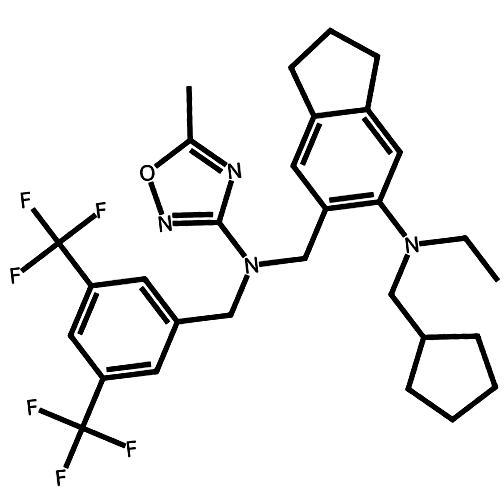 CCN(CC1CCCC1)c1cc2c(cc1CN(Cc1cc(C(F)(F)F)cc(C(F)(F)F)c1)c1noc(C)n1)CCC2